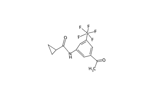 CC(=O)c1cc(NC(=O)C2CC2)cc(S(F)(F)(F)(F)F)c1